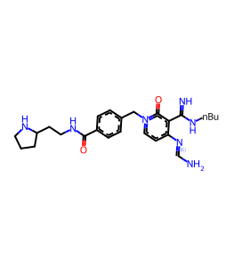 CCCCNC(=N)c1c(/N=C/N)ccn(Cc2ccc(C(=O)NCCC3CCCN3)cc2)c1=O